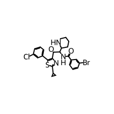 O=C(NC(C(=O)c1nc(C2CC2)sc1-c1cccc(Cl)c1)C1CCCCN1)c1cccc(Br)c1